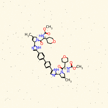 COC(=O)N[C@H](C(=O)N1CC(C)=CC1c1ncc(-c2ccc(-c3ccc(-c4cnc(C5C=C(C)CN5C(=O)[C@@H](NC(=O)OC)C5CCOCC5)[nH]4)cc3)cc2)[nH]1)C1CCOCC1